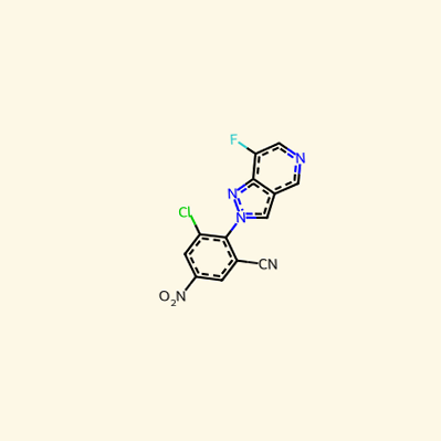 N#Cc1cc([N+](=O)[O-])cc(Cl)c1-n1cc2cncc(F)c2n1